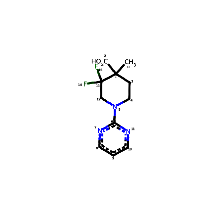 CC1(C(=O)O)CCN(c2ncccn2)CC1(F)F